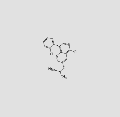 CC(C#N)Oc1ccc2c(-c3ccccc3Cl)cnc(Cl)c2c1